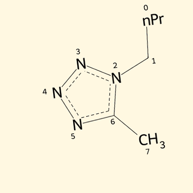 CCCCn1nnnc1C